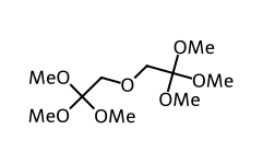 COC(COCC(OC)(OC)OC)(OC)OC